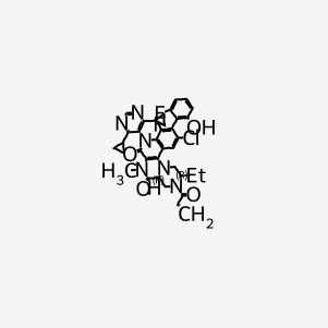 C=CC(=O)N1C[C@@H]2C(=O)N(C)c3c(c4cc(Cl)c(-c5c(O)cccc5F)c(F)c4n(-c4c(C5CC5)ncnc4C4CC4)c3=O)N2C[C@H]1CC